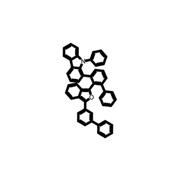 c1ccc(-c2cccc(-c3oc(-c4c(-c5ccccc5)cccc4-c4cccc5c6ccccc6n(-c6ccccc6)c45)c4ccccc34)c2)cc1